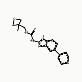 CC1(CNC(=O)Nc2nc3cc(-c4ccncc4)ccc3[nH]2)COC1